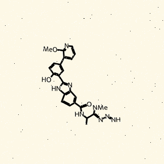 CN/C(=N\N=N)C(C)NC(=O)c1ccc2[nH]c(-c3cc(-c4cccnc4OC)ccc3O)nc2c1